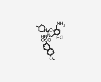 COc1ccc2cc(S(=O)(=O)NN(Cc3cccc(CN)c3)C(=O)N3CCC(C)CC3)ccc2c1.Cl